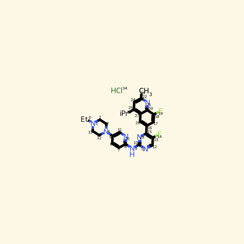 CCN1CCN(c2ccc(Nc3ncc(F)c(-c4cc(F)c5nc(C)cc(C(C)C)c5c4)n3)nc2)CC1.Cl